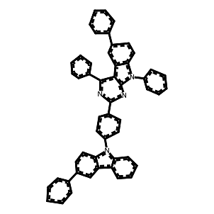 c1ccc(-c2ccc3c(c2)c2ccccc2n3-c2ccc(-c3nc(-c4ccccc4)c4c5cc(-c6ccccc6)ccc5n(-c5ccccc5)c4n3)cc2)cc1